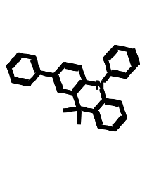 CC1(C)c2ccccc2N(c2cc#ccc2)c2ccc(-c3ccccc3)cc21